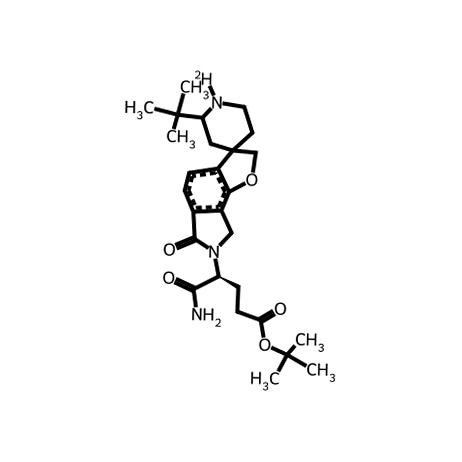 [2H]N1CCC2(COc3c2ccc2c3CN([C@@H](CCC(=O)OC(C)(C)C)C(N)=O)C2=O)CC1C(C)(C)C